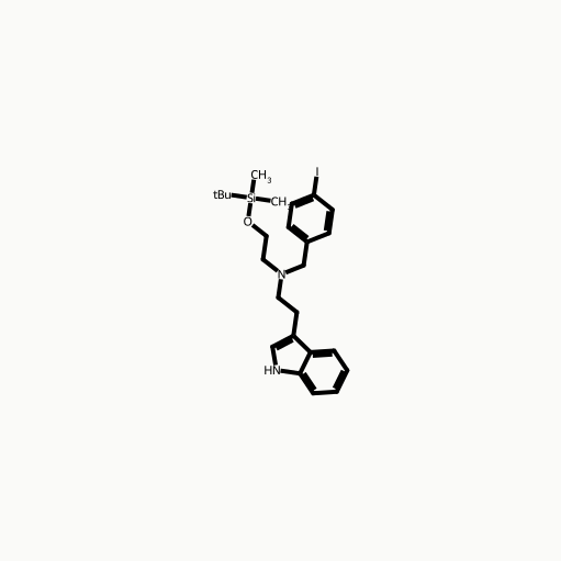 CC(C)(C)[Si](C)(C)OCCN(CCc1c[nH]c2ccccc12)Cc1ccc(I)cc1